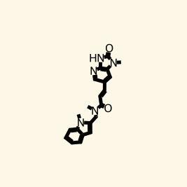 CN(Cc1cc2ccccc2n1C)C(=O)C=Cc1cnc2[nH]c(=O)n(C)c2c1